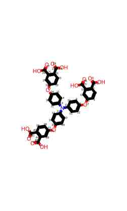 O=C(O)c1ccc(Oc2ccc(N(c3ccc(Oc4ccc(C(=O)O)c(C(=O)O)c4)cc3)c3ccc(Oc4ccc(C(=O)O)c(C(=O)O)c4)cc3)cc2)cc1C(=O)O